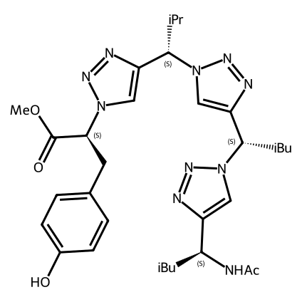 CCC(C)[C@H](NC(C)=O)c1cn([C@H](c2cn([C@H](c3cn([C@@H](Cc4ccc(O)cc4)C(=O)OC)nn3)C(C)C)nn2)C(C)CC)nn1